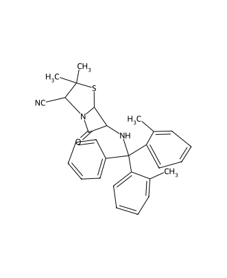 Cc1ccccc1C(NC1C(=O)N2C1SC(C)(C)C2C#N)(c1ccccc1)c1ccccc1C